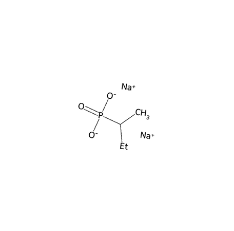 CCC(C)P(=O)([O-])[O-].[Na+].[Na+]